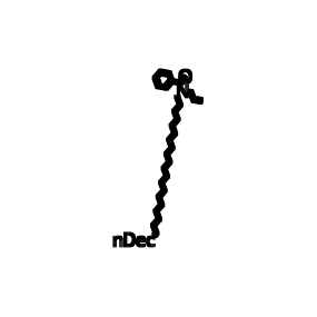 C=CCN(CCCCCCCCCCCCCCCCCCCCCCCCCCCCCC)C(=O)c1ccccc1